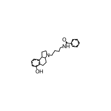 O=C(NCCCCN1CCC2c3cccc(O)c3CCC21)c1ccccc1